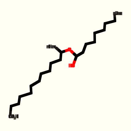 CCCCCCCCCCCCCCCCCC(O)OC(CCCCCC)CCCCCCCCCCC(=O)O